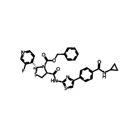 O=C(NC1CC1)c1ccc(-c2csc(NC(=O)C3CS[C@H](c4ccncc4F)N3C(=O)OCc3ccccc3)n2)cc1